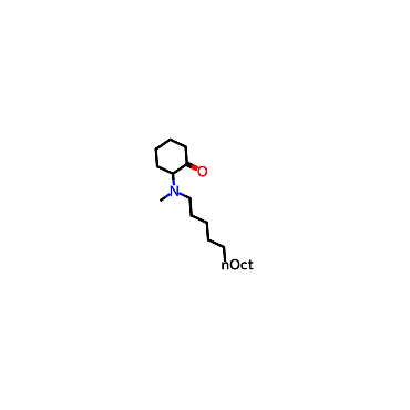 CCCCCCCCCCCCCN(C)C1CCCCC1=O